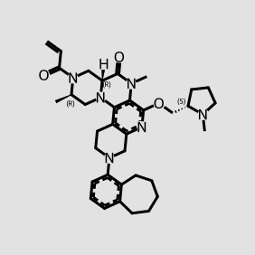 C=CC(=O)N1C[C@@H]2C(=O)N(C)c3c(OC[C@@H]4CCCN4C)nc4c(c3N2C[C@H]1C)CCN(c1cccc2c1CCCCC2)C4